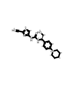 C#Cc1nc(NC(=O)N[C@@H](CO)c2ccc(N3CCCCC3)cc2)cs1